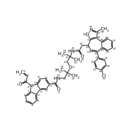 C=CC(=O)n1c2ccccc2c2cc(C(=O)NCC(C)(C)OCC(C)(C)NC(=O)CC3N=C(c4ccc(Cl)cc4)c4ccccc4-c4c(C)noc43)ccc21